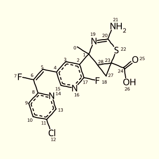 CC1(c2cc(/C=C(/F)c3ccc(Cl)cn3)cnc2F)N=C(N)SC2(C(=O)O)CC21